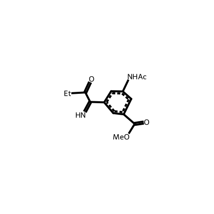 CCC(=O)C(=N)c1cc(NC(C)=O)cc(C(=O)OC)c1